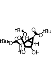 CC(C)(C)OC(=O)N[C@]1(C(=O)OC(C)(C)C)[C@@H]2[C@@H](C(=O)OC(C)(C)C)[C@@H]2[C@@H](O)[C@H]1O